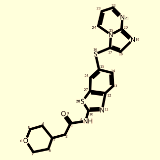 O=C(CC1CCOCC1)Nc1nc2ccc(Sc3cnc4ncccn34)cc2s1